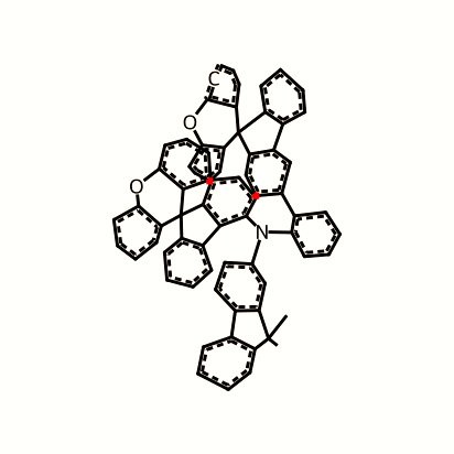 CC1(C)c2ccccc2-c2ccc(N(c3ccccc3-c3ccc4c(c3)-c3ccccc3C43c4ccccc4Oc4ccccc43)c3cccc4c3-c3ccccc3C43c4ccccc4Oc4ccccc43)cc21